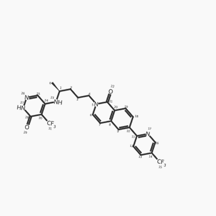 C[C@@H](CCCn1ccc2cc(-c3ccc(C(F)(F)F)cn3)ccc2c1=O)Nc1cn[nH]c(=O)c1C(F)(F)F